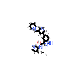 Cc1ccncc1NC(=O)c1n[nH]c2ccc(-c3cncc(CN4CCCCC4)c3)cc12